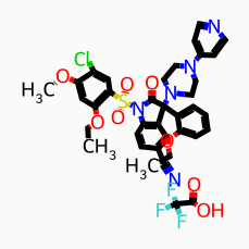 CCOc1ccccc1C1(N2CCN(c3ccncc3)CC2)C(=O)N(S(=O)(=O)c2cc(Cl)c(OC)cc2OCC)c2ccc(C#N)cc21.O=C(O)C(F)(F)F